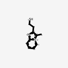 Cc1c(CCS)nc2ccccn12